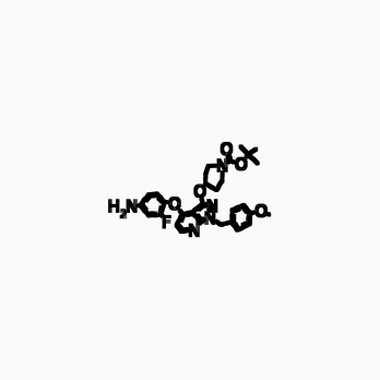 COc1ccc(Cn2nc(OC3CCN(C(=O)OC(C)(C)C)CC3)c3c(Oc4ccc(N)cc4F)ccnc32)cc1